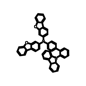 C1=CC2c3ccccc3N(c3ccccc3-c3ccc(N(c4ccc5c(c4)oc4ccccc45)c4ccc5c(c4)oc4ccccc45)cc3)C2C=C1